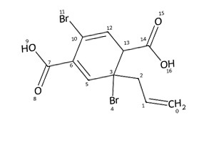 C=CCC1(Br)C=C(C(=O)O)C(Br)=CC1C(=O)O